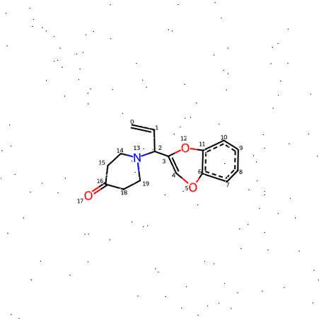 C=CC(C1=COc2ccccc2O1)N1CCC(=O)CC1